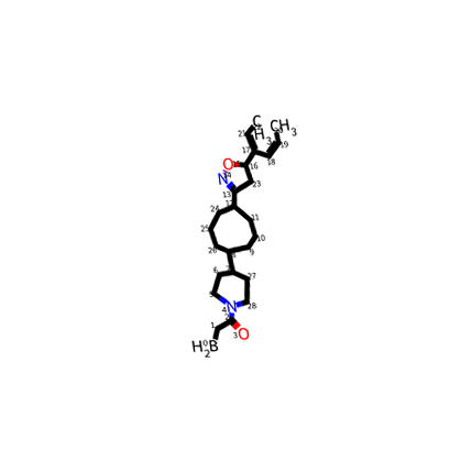 BCC(=O)N1CCC(C2CCCC(C3=NOC(C(/C=C\C)=C/C)C3)CCC2)CC1